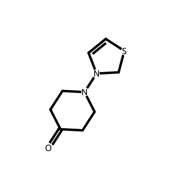 O=C1CCN(N2C=CSC2)CC1